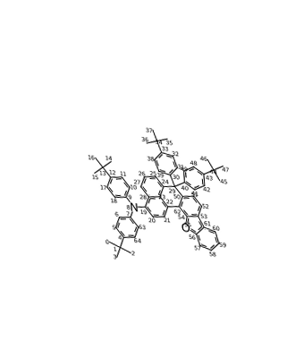 CC(C)(C)c1ccc(N(c2ccc(C(C)(C)C)cc2)c2ccc3c4c(cccc24)C(c2ccc(C(C)(C)C)cc2)(c2ccc(C(C)(C)C)cc2)c2ccc4c(oc5ccccc54)c2-3)cc1